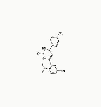 N#Cc1cnc(C(F)F)c(C2=CC(c3ccc(C(F)(F)F)cc3)NC(=O)N2)c1